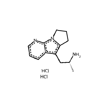 C[C@@H](N)Cc1c2n(c3ncccc13)CCC2.Cl.Cl